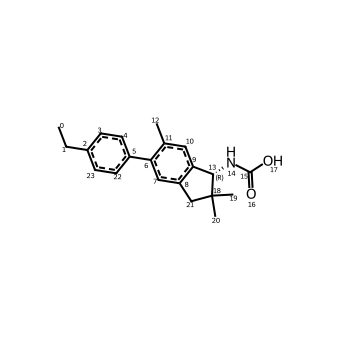 CCc1ccc(-c2cc3c(cc2C)[C@H](NC(=O)O)C(C)(C)C3)cc1